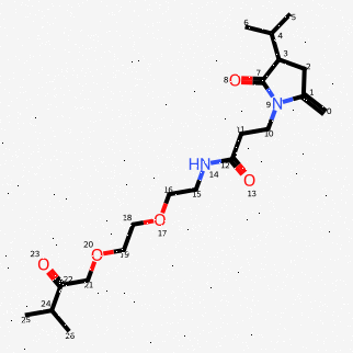 C=C1CC(C(C)C)C(=O)N1CCC(=O)NCCOCCOCC(=O)C(C)C